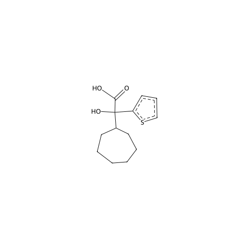 O=C(O)C(O)(c1cccs1)C1CCCCCC1